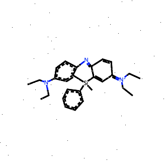 CCN(CC)c1ccc2c(c1)[Si](C)(c1ccccc1)C1=CC(=[N+](CC)CC)C=CC1=N2